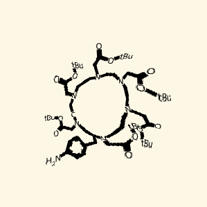 CC(C)(C)OC(=O)CN1CCN(CC(=O)OC(C)(C)C)CCN(CC(=O)OC(C)(C)C)CCN(CC(=O)OC(C)(C)C)C(Cc2ccc(N)cc2)CN(CC(=O)OC(C)(C)C)CCN(CC(=O)OC(C)(C)C)CC1